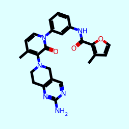 Cc1ccoc1C(=O)Nc1cccc(-n2ccc(C)c(N3CCc4nc(N)ncc4C3)c2=O)c1